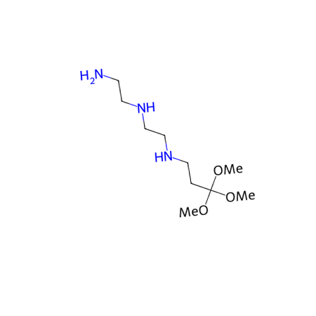 COC(CCNCCNCCN)(OC)OC